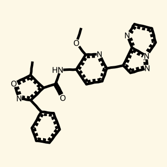 COc1nc(-c2cnn3cccnc23)ccc1NC(=O)c1c(-c2ccccc2)noc1C